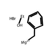 Br.CCO.[Mg+2][CH2]c1ccccc1